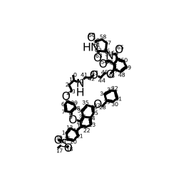 CC(CCOc1ccc(Oc2c(-c3ccc(S(C)(=O)=O)cc3)ccc3cc(OCc4ccccc4)ccc23)cc1)NCCOCCOc1cccc2c1C(=O)N(C1CCC(=O)NC1=O)C2=O